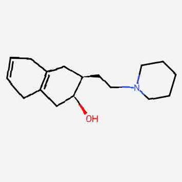 O[C@H]1CC2=C(CC=CC2)C[C@H]1CCN1CCCCC1